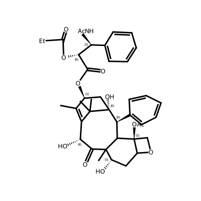 CCC(=O)O[C@@H](C(=O)O[C@H]1C[C@@]2(O)[C@@H](c3ccccc3)C3C(C)(C(=O)[C@H](O)C(=C1C)C2(C)C)[C@@H](O)CC1OC[C@]13OC(C)=O)[C@@H](NC(C)=O)c1ccccc1